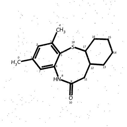 Cc1cc(C)c2c(c1)NC(=O)CC1CCCCC1S2